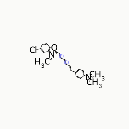 CC[n+]1c(/C=C/C=C/C=Cc2ccc(N(C)C)cc2)oc2ccc(Cl)cc21